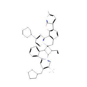 C=CC1C2C(c3ccccc3-c3cc(CC4CCCC4)c([Si](C)(C)C)c[n+]32)C12Cc1ccc3c(oc4nc(C)ccc43)c1-c1cc(C3CCCCC3)cc[n+]12